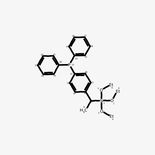 CCO[Si](OCC)(OCC)C(C)c1ccc(P(c2ccccc2)c2ccccc2)cc1